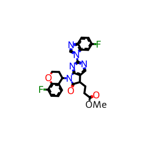 COC(=O)CCC1C(=O)N(C2CCOc3c(F)cccc32)c2nc(-n3cnc4ccc(F)cc43)ncc21